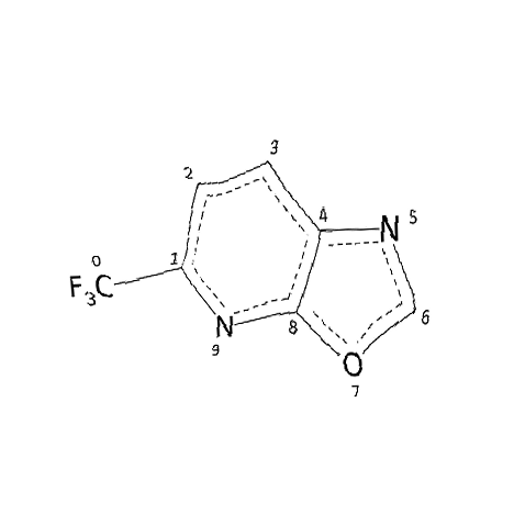 FC(F)(F)c1ccc2ncoc2n1